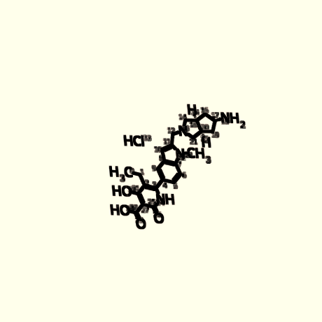 CCc1c(-c2ccc3c(c2)cc(CN2C[C@H]4C[C@@H](N)C[C@H]4C2)n3C)[nH]c(=O)c(C(=O)O)c1O.Cl